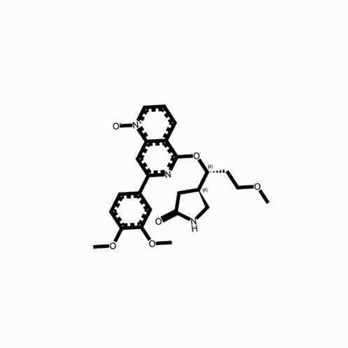 COCC[C@@H](Oc1nc(-c2ccc(OC)c(OC)c2)cc2c1ccc[n+]2[O-])[C@H]1CNC(=O)C1